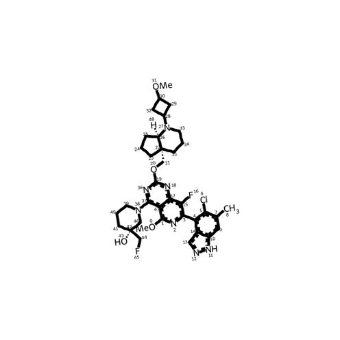 COc1nc(-c2c(Cl)c(C)cc3[nH]ncc23)c(F)c2nc(OC[C@]34CCC[C@H]3N(C3CC(OC)C3)CCC4)nc(N3CCC[C@](O)(CF)C3)c12